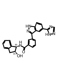 O=C(N[C@@H]1c2ccccc2C[C@@H]1O)c1cccc(-c2n[nH]c3ccc(-c4ncn[nH]4)cc23)c1